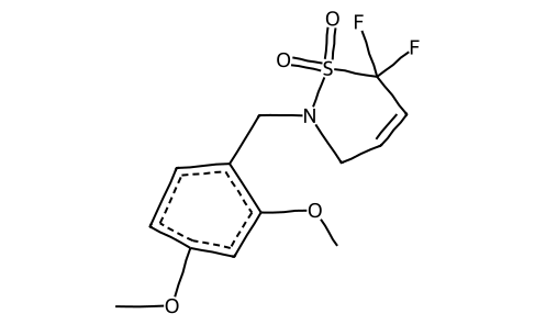 COc1ccc(CN2CC=CC(F)(F)S2(=O)=O)c(OC)c1